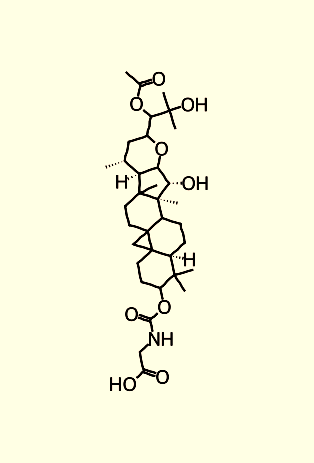 CC(=O)OC(C1C[C@@H](C)[C@H]2C(O1)[C@H](O)[C@@]1(C)C3CC[C@H]4C(C)(C)C(OC(=O)NCC(=O)O)CCC45CC35CCC21C)C(C)(C)O